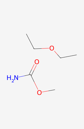 CCOCC.COC(N)=O